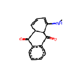 CNC1=CC=CC2C(=O)c3ccccc3C(=O)C12